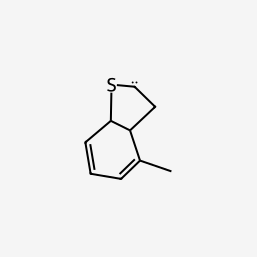 CC1=CC=CC2S[C]CC12